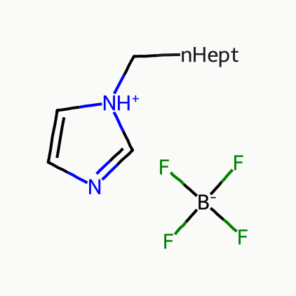 CCCCCCCC[NH+]1C=CN=C1.F[B-](F)(F)F